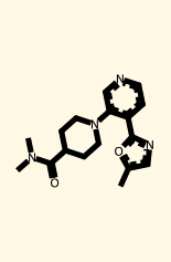 Cc1cnc(-c2ccncc2N2CCC(C(=O)N(C)C)CC2)o1